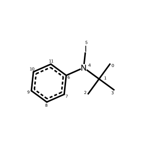 CC(C)(C)N(I)c1ccccc1